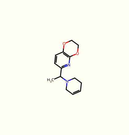 CC(c1ccc2c(n1)OCCO2)N1CC=CCC1